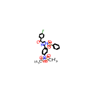 CS(=O)(=O)N(c1ccc(-c2nc(C(=O)c3ccc(F)cc3)cn2S(=O)(=O)c2ccccc2)cc1)S(C)(=O)=O